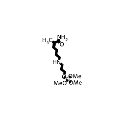 CO[Si](OC)(OC)OCCCNCCCC=C(C)C(N)=O